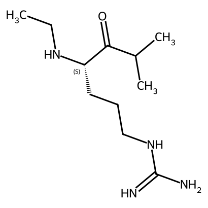 CCN[C@@H](CCCNC(=N)N)C(=O)C(C)C